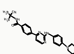 BC(B)(C#N)NC(=O)c1ccc(-c2ccnc(Nc3ccc(N4CCOCC4)cc3)n2)cc1